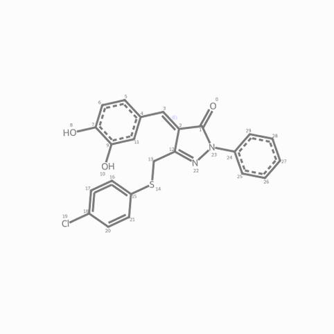 O=C1/C(=C/c2ccc(O)c(O)c2)C(CSC2=C=C=C(Cl)C=C2)=NN1c1ccccc1